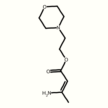 CC(N)=CC(=O)OCCN1CCOCC1